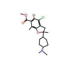 COC(=O)c1c(C)c2c(c(Cl)c1Br)CC(C)(C1CCC(N(C)C)CC1)O2